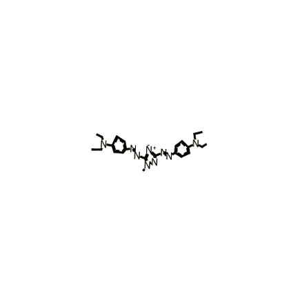 CCN(CC)c1ccc(N=Nc2nn(C)c(N=Nc3ccc(N(CC)CC)cc3)[n+]2C)cc1